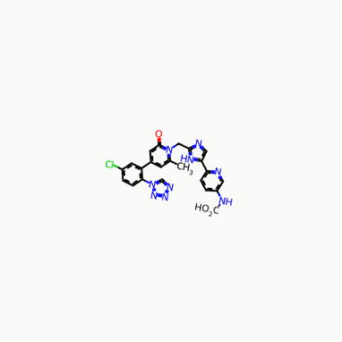 Cc1cc(-c2cc(Cl)ccc2-n2cnnn2)cc(=O)n1Cc1ncc(-c2ccc(NC(=O)O)cn2)[nH]1